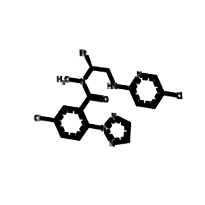 CC[C@@H](CNc1ccc(Cl)cn1)N(C)C(=O)c1cc(Cl)ccc1-n1nccn1